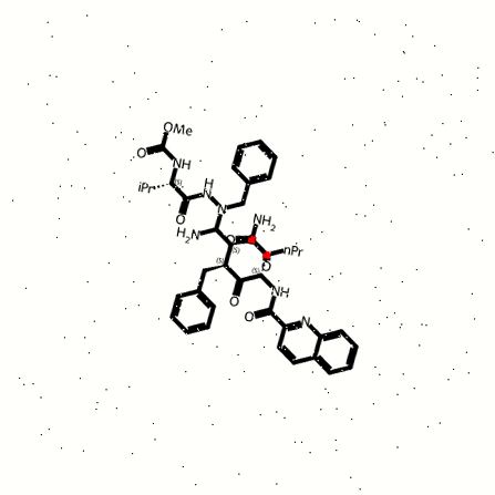 CCCC(=O)O[C@H](C(N)N(Cc1ccccc1)NC(=O)[C@@H](NC(=O)OC)C(C)C)[C@H](Cc1ccccc1)C(=O)[C@H](CC(N)=O)NC(=O)c1ccc2ccccc2n1